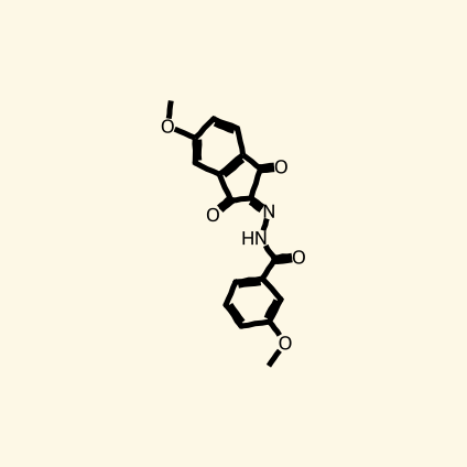 COc1cccc(C(=O)NN=c2c(=O)c3ccc(OC)cc3c2=O)c1